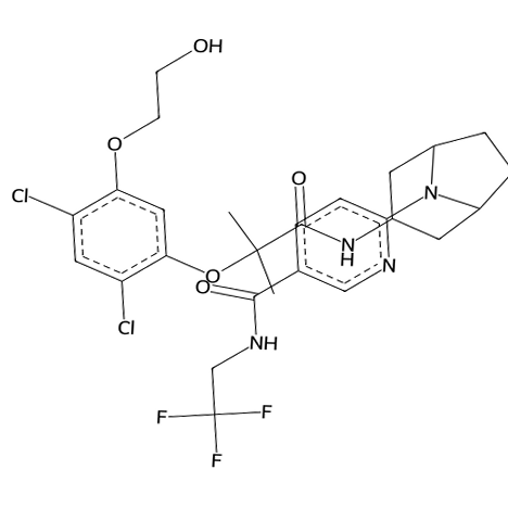 CC(C)(Oc1cc(OCCO)c(Cl)cc1Cl)C(=O)NC1CC2CCC(C1)N2c1ccc(C(=O)NCC(F)(F)F)cn1